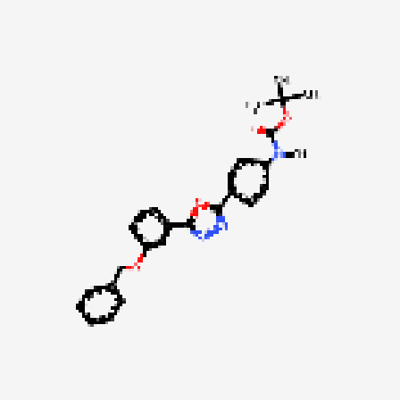 CN(C(=O)OC(C)(C)C)c1ccc(-c2nnc(-c3cccc(OCc4ccccc4)c3)o2)cc1